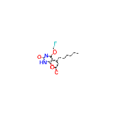 CCCCCCc1cc(=O)oc2[nH]c(=O)nc(OCF)c12